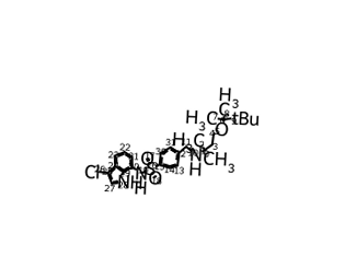 CC(C)(CCOC(C)(C)C(C)(C)C)NCc1ccc(S(=O)(=O)Nc2cccc3c(Cl)c[nH]c23)cc1